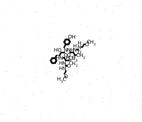 COCCNC(=O)N[C@H](C(=O)N[C@@H](Cc1ccccc1)[C@@H](O)CN(Cc1ccc(O)cc1)NC(=O)[C@@H](NC(=O)NCCOC)C(C)C)C(C)C